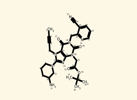 CC#CCn1c(N2CCCC(N)C2)nc2c1c(=O)n(Cc1ncccc1C#N)c(=O)n2CC(=O)OC(C)(C)C